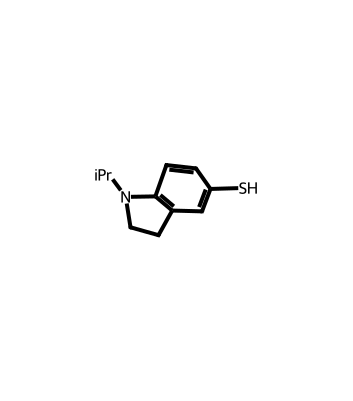 CC(C)N1CCc2cc(S)ccc21